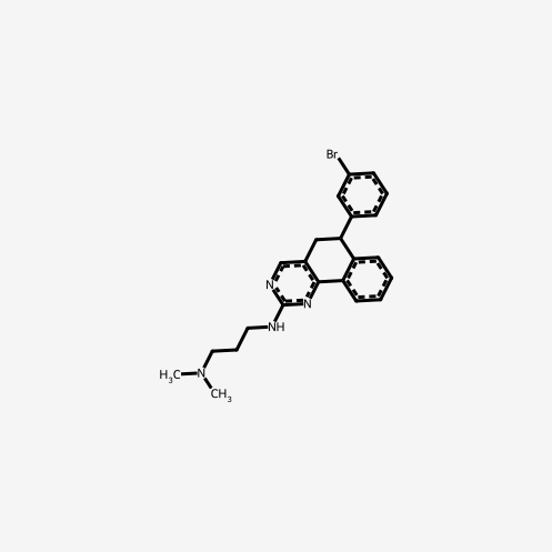 CN(C)CCCNc1ncc2c(n1)-c1ccccc1C(c1cccc(Br)c1)C2